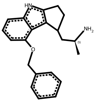 C[C@H](N)CC1CCc2[nH]c3cccc(OCc4ccccc4)c3c21